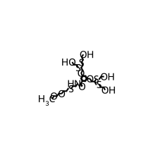 COCCOCCCSCCNC(=O)c1cc(OCC(CSCCO)SCCO)cc(OCC(CSCCO)SCCO)c1